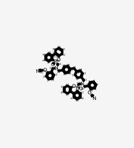 N#COc1ccccc1CN(CC1=CC=C(Cc2ccc(CN(Cc3ccccc3OC#N)CP3(=O)OC4=C(CC=CC4)c4ccccc43)cc2)CC1)CP1(=O)OC2=C(CC=CC2)c2ccccc21